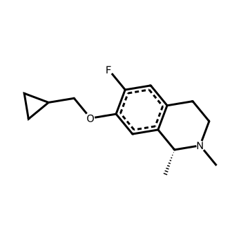 C[C@@H]1c2cc(OCC3CC3)c(F)cc2CCN1C